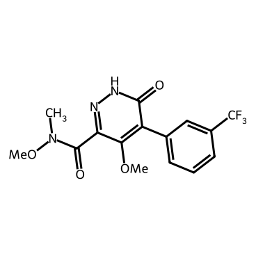 COc1c(C(=O)N(C)OC)n[nH]c(=O)c1-c1cccc(C(F)(F)F)c1